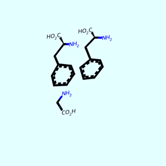 NCC(=O)O.N[C@@H](Cc1ccccc1)C(=O)O.N[C@@H](Cc1ccccc1)C(=O)O